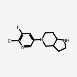 Fc1cc(N2CCC3NCCC3C2)cnc1Cl